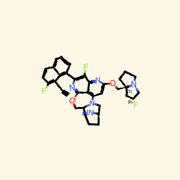 C#Cc1c(F)ccc2cccc(-c3nc4c5c(cc(OC[C@@]67CCCN6C[C@H](F)C7)nc5c3F)N3CC5CCC(N5)C3CO4)c12